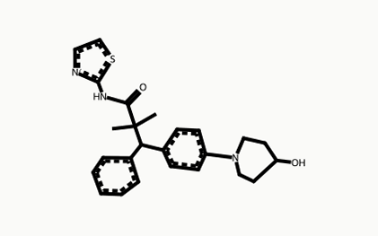 CC(C)(C(=O)Nc1nccs1)C(c1ccccc1)c1ccc(N2CCC(O)CC2)cc1